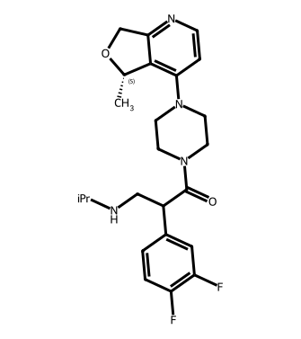 CC(C)NCC(C(=O)N1CCN(c2ccnc3c2[C@H](C)OC3)CC1)c1ccc(F)c(F)c1